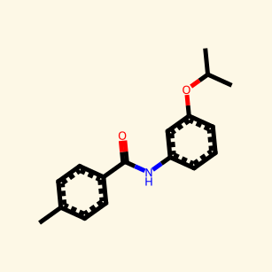 Cc1ccc(C(=O)Nc2cccc(OC(C)C)c2)cc1